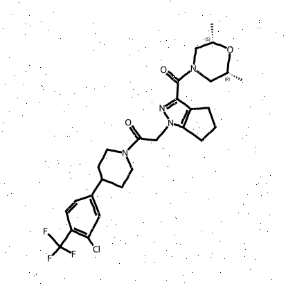 C[C@@H]1CN(C(=O)c2nn(CC(=O)N3CCC(c4ccc(C(F)(F)F)c(Cl)c4)CC3)c3c2CCC3)C[C@H](C)O1